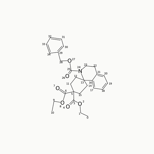 CCOC(=O)C1(C(=O)OCC)CCC2(CC1)c1ccccc1CCN2C(=O)OCc1ccccc1